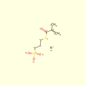 C=C(C)C(=O)SCCCS(=O)(=O)[O-].[K+]